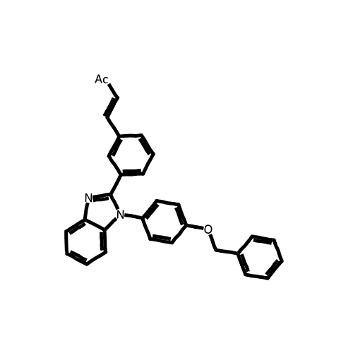 CC(=O)/C=C/c1cccc(-c2nc3ccccc3n2-c2ccc(OCc3ccccc3)cc2)c1